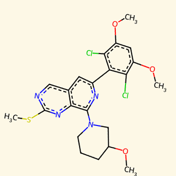 COc1cc(OC)c(Cl)c(-c2cc3cnc(SC)nc3c(N3CCCC(OC)C3)n2)c1Cl